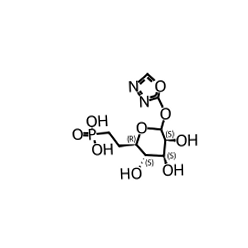 O=P(O)(O)CC[C@H]1OC(Oc2nnco2)[C@@H](O)[C@@H](O)[C@@H]1O